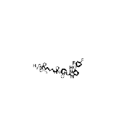 CN(C)C(=O)/C=C/CCCC(=O)Nc1cccn(Cc2nc3cccc(Oc4ccc(F)cc4F)c3[nH]2)c1=O